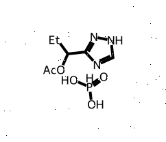 CCC(OC(C)=O)c1nc[nH]n1.O=[PH](O)O